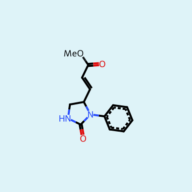 COC(=O)C=CC1CNC(=O)N1c1ccccc1